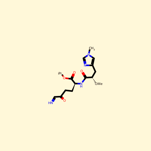 CO[C@@H](Cc1cn(C)cn1)C(=O)N[C@@H](CCC(=O)C=N)C(=O)OC(C)C